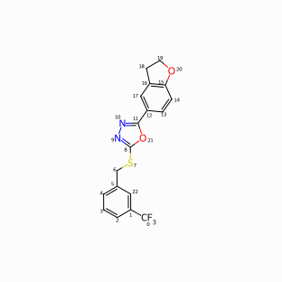 FC(F)(F)c1cccc(CSc2nnc(-c3ccc4c(c3)CCO4)o2)c1